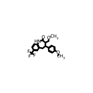 COCC1C(=O)Nc2ccc(C(F)(F)F)cc2CC1c1ccc(OC)cc1